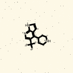 FC(F)(F)c1cnc2[nH]ccc2c1C1CCNCC1